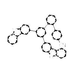 N#Cc1ccc(-c2ccccc2-c2cc(-c3ccc4oc5ccccc5c4c3)cc(-c3ccc4oc5ccccc5c4c3)c2)cc1